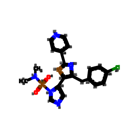 CN(C)S(=O)(=O)n1cncc1-c1sc(-c2ccncc2)nc1Cc1ccc(Cl)cc1